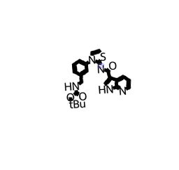 CC(C)(C)OC(=O)NCc1cccc(-n2ccs/c2=N\C(=O)c2c[nH]c3ncccc23)c1